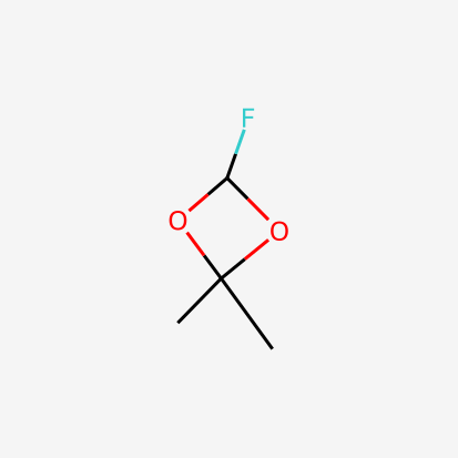 CC1(C)OC(F)O1